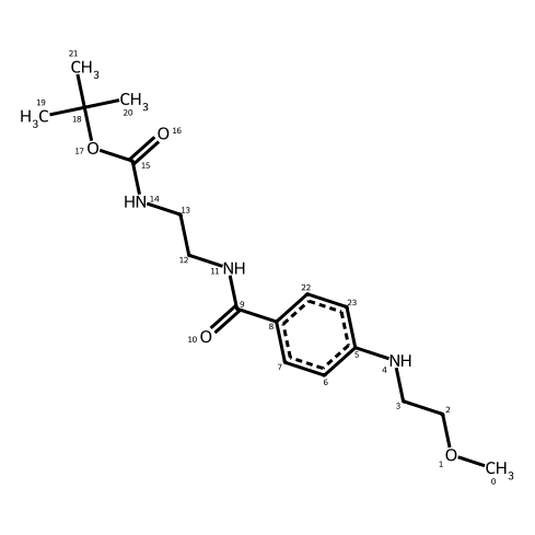 COCCNc1ccc(C(=O)NCCNC(=O)OC(C)(C)C)cc1